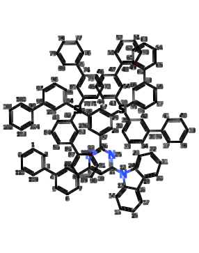 c1ccc(-c2cccc(-c3cc(-n4c5ccccc5c5ccccc54)nc(-c4cc([Si](c5cccc(-c6ccccc6)c5)(c5cccc(-c6ccccc6)c5)c5cccc(-c6ccccc6)c5)cc([Si](c5cccc(-c6ccccc6)c5)(c5cccc(-c6ccccc6)c5)c5cccc(-c6ccccc6)c5)c4)n3)c2)cc1